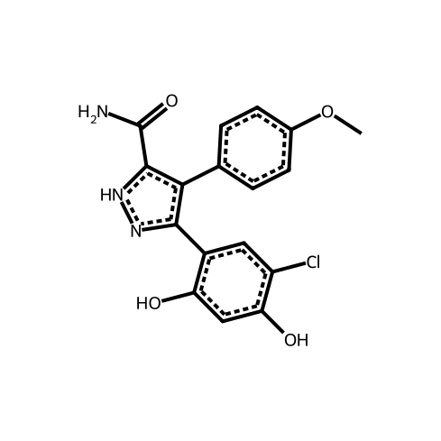 COc1ccc(-c2c(-c3cc(Cl)c(O)cc3O)n[nH]c2C(N)=O)cc1